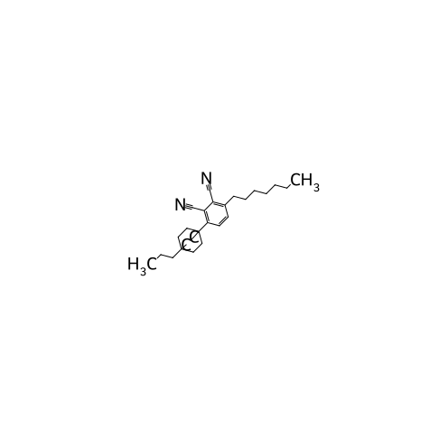 CCCCCCCc1ccc(C23CCC(CCC)(CC2)CC3)c(C#N)c1C#N